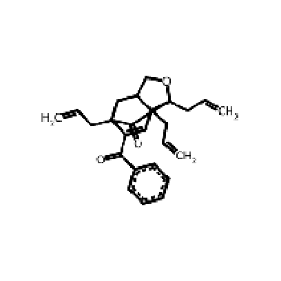 C=CCC12CC3COC(CC=C)(C1=O)C3(CC=C)C=C2C(=O)c1ccccc1